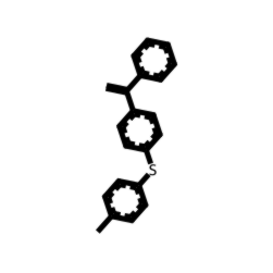 C=C(c1ccccc1)c1ccc(Sc2ccc(C)cc2)cc1